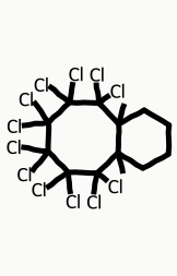 CC12CCCCC1(C)C(Cl)(Cl)C(Cl)(Cl)C(Cl)(Cl)C(Cl)(Cl)C(Cl)(Cl)C2(Cl)Cl